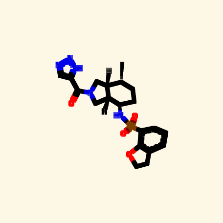 C[C@@H]1CC[C@H](NS(=O)(=O)c2cccc3c2OCC3)[C@@H]2CN(C(=O)c3cnn[nH]3)C[C@@H]21